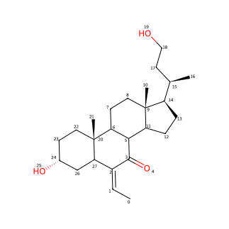 C/C=C1\C(=O)C2C(CC[C@@]3(C)C2CC[C@@H]3[C@H](C)CCO)[C@@]2(C)CC[C@@H](O)CC12